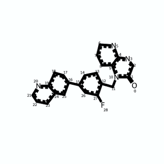 O=c1cnc2ncccc2n1Cc1ccc(-c2ccc3ncccc3c2)cc1F